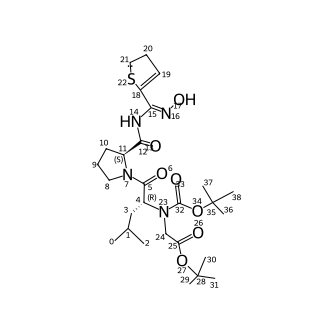 CC(C)C[C@H](C(=O)N1CCC[C@H]1C(=O)NC(=NO)C1=CC[C]S1)N(CC(=O)OC(C)(C)C)C(=O)OC(C)(C)C